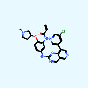 C=CC(=O)Nc1cc(Nc2ncc3cncc(-c4cncc(Cl)c4)c3n2)ccc1OC1CCN(C)C1